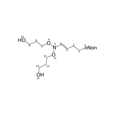 CCCCCCCCCCCC=CN(OCCCO)OCCCO